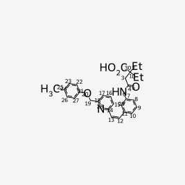 CCC(CC)(CC(=O)Nc1cccc(/C=C\c2cccc(COc3ccc(C)cc3)n2)c1)C(=O)O